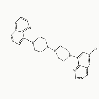 Clc1cc(N2CCN(C3CCN(c4cccc5cccnc45)CC3)CC2)c2ncccc2c1